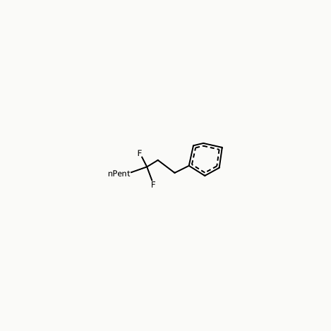 [CH2]CCCCC(F)(F)CCc1ccccc1